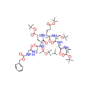 CC(C)C[C@H](NC(=O)[C@H](COC(C)(C)C)NC(=O)[C@H](CCC(=O)OC(C)(C)C)NC(=O)[C@H](CCC(=O)OC(C)(C)C)NC(=O)[C@H](CC(=O)OC(C)(C)C)NC(=O)CNC(=O)OCc1ccccc1)C(=O)N[C@@H](C)C(=O)OC(C)(C)C